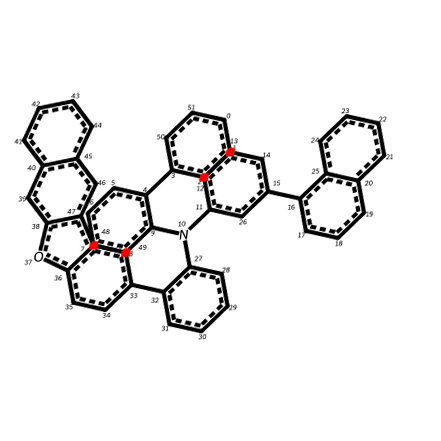 c1ccc(-c2ccccc2N(c2cccc(-c3cccc4ccccc34)c2)c2ccccc2-c2ccc3oc4cc5ccccc5cc4c3c2)cc1